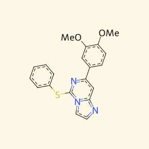 COc1ccc(-c2cc3nccn3c(Sc3ccccc3)n2)cc1OC